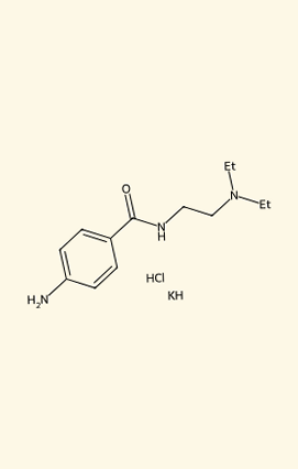 CCN(CC)CCNC(=O)c1ccc(N)cc1.Cl.[KH]